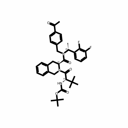 CC(=O)c1ccc(CN(C(=O)[C@@H]2Cc3ccccc3CN2C(=O)[C@@H](NC(=O)OC(C)(C)C)C(C)(C)C)[C@H](C)c2cccc(F)c2F)cc1